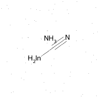 N.N#[C][InH2]